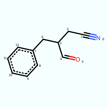 N#CCC([C]=O)Cc1ccccc1